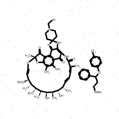 CNCCC(Oc1ccc(C(F)(F)F)cc1)c1ccccc1.CO[C@H]1/C=C/O[C@@]2(C)Oc3c(C)c(O)c4c(c3C2=O)C2=NC3(CCN(CC(C)C)CC3)NC2=C(NC(=O)/C(C)=C\C=C\[C@H](C)[C@H](O)[C@@H](C)[C@@H](O)[C@@H](C)[C@H](OC(C)=O)[C@@H]1C)C4=O